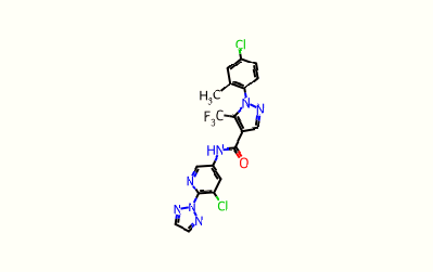 Cc1cc(Cl)ccc1-n1ncc(C(=O)Nc2cnc(-n3nccn3)c(Cl)c2)c1C(F)(F)F